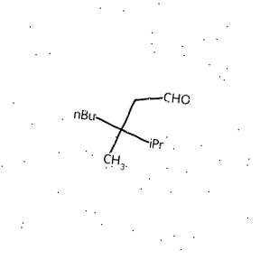 CCCCC(C)(CC=O)C(C)C